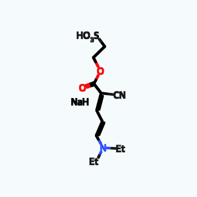 CCN(/C=C/C=C(\C#N)C(=O)OCCS(=O)(=O)O)CC.[NaH]